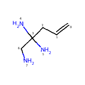 C=CCC(N)(N)CN